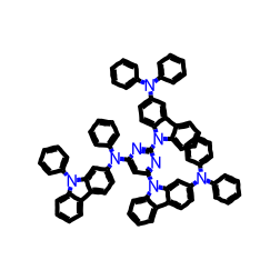 c1ccc(N(c2ccccc2)c2ccc3c(c2)c2ccccc2n3-c2nc(N(c3ccccc3)c3ccc4c5ccccc5n(-c5ccccc5)c4c3)cc(-n3c4ccccc4c4ccc(N(c5ccccc5)c5ccccc5)cc43)n2)cc1